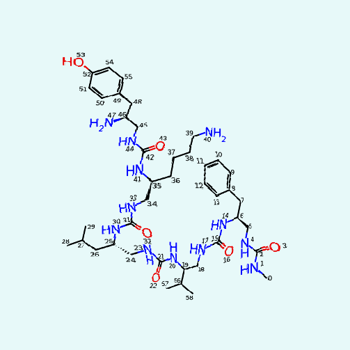 CNC(=O)NC[C@H](Cc1ccccc1)NC(=O)NCC(NC(=O)NC[C@H](CC(C)C)NC(=O)NC[C@H](CCCCN)NC(=O)NC[C@@H](N)Cc1ccc(O)cc1)C(C)C